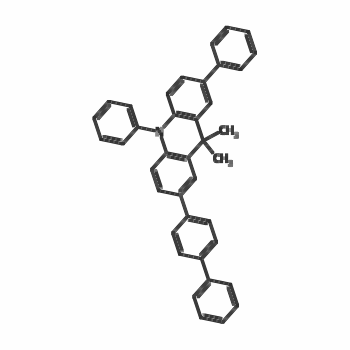 CC1(C)c2cc(-c3ccccc3)ccc2N(c2ccccc2)c2ccc(-c3ccc(-c4ccccc4)cc3)cc21